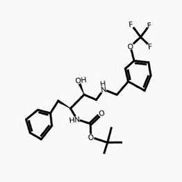 CC(C)(C)OC(=O)N[C@@H](Cc1ccccc1)[C@@H](O)CNCc1cccc(OC(F)(F)F)c1